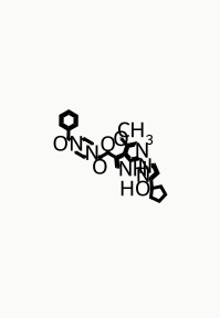 COc1cnc(-n2ccc(C3(O)CCCC3)n2)c2[nH]cc(C(=O)C(=O)N3CCN(C(=O)c4ccccc4)CC3)c12